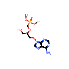 CCOP(=O)(CO[C@H](CO)COn1cnc2c(N)ncnc21)OCC